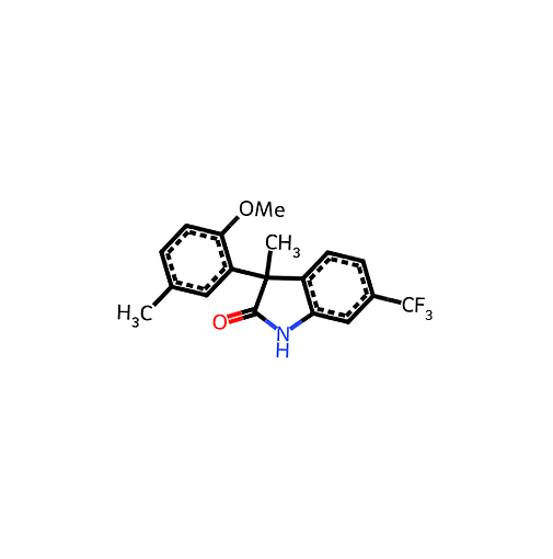 COc1ccc(C)cc1C1(C)C(=O)Nc2cc(C(F)(F)F)ccc21